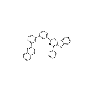 c1ccc(-c2nc(-c3cccc(-c4cccc(-c5ccc6ccccc6c5)c4)c3)nc3c2sc2ccccc23)cc1